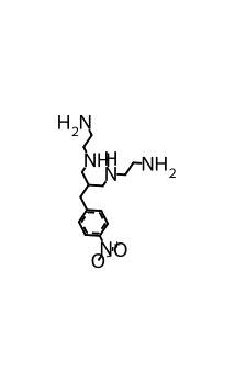 NCCNCC(CNCCN)Cc1ccc([N+](=O)[O-])cc1